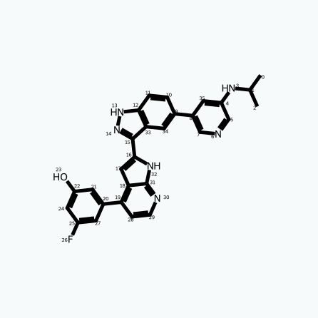 CC(C)Nc1cncc(-c2ccc3[nH]nc(-c4cc5c(-c6cc(O)cc(F)c6)ccnc5[nH]4)c3c2)c1